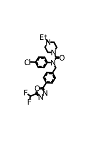 CCN1CCN(C(=O)N(Cc2ccc(-c3nnc(C(F)F)o3)cc2)c2ccc(Cl)cc2)CC1